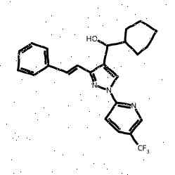 OC(c1cn(-c2ccc(C(F)(F)F)cn2)nc1C=Cc1ccccc1)C1CCCCC1